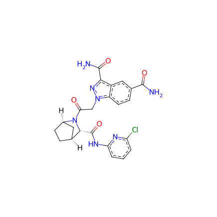 NC(=O)c1ccc2c(c1)c(C(N)=O)nn2CC(=O)N1[C@@H]2CC[C@@H](C2)[C@H]1C(=O)Nc1cccc(Cl)n1